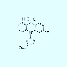 CC1(C)c2ccccc2N(c2ccc(C=O)s2)c2cc(F)ccc21